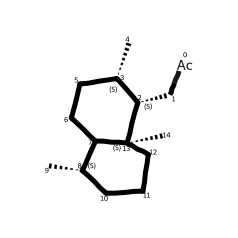 CC(=O)C[C@H]1[C@@H](C)CCC2[C@@H](C)CCC[C@@]21C